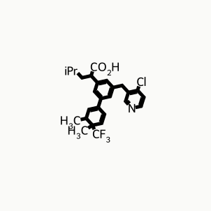 CC(C)CC(C(=O)O)c1cc(Cc2cnccc2Cl)cc(C2=CC(C)C(C)(C(F)(F)F)C=C2)c1